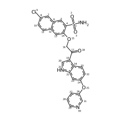 NS(=O)(=O)c1cc2cc(Cl)ccc2cc1OCC(=O)c1c[nH]c2cc(Oc3cccnc3)ccc12